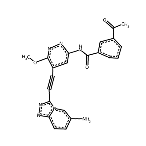 COc1nnc(NC(=O)c2cccc(C(C)=O)c2)cc1C#Cc1nnc2ccc(N)cn12